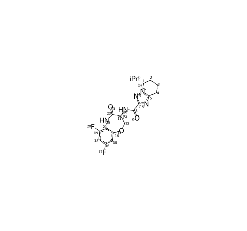 CC(C)[C@@H]1CCCc2nc(C(=O)N[C@H]3COc4cc(F)cc(F)c4NC3=O)nn21